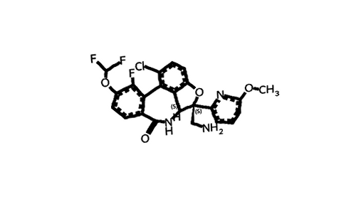 COc1cccc([C@@]2(CN)Oc3ccc(Cl)c4c3[C@@H]2NC(=O)c2ccc(OC(F)F)c(F)c2-4)n1